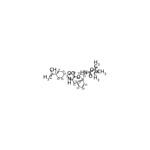 CC(C)[C@H]1CC[C@H](C(=O)N[C@H](Cc2ccccc2)C(=O)OCCNC(=O)OC(C)(C)C)CC1